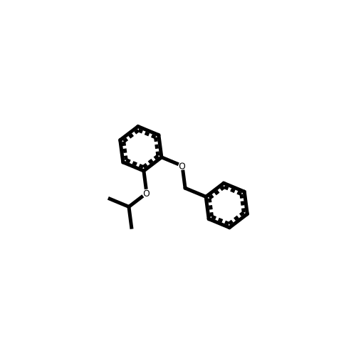 CC(C)Oc1ccccc1OCc1ccccc1